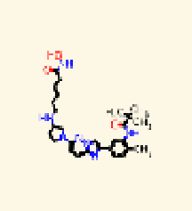 Cc1ccc(-c2cn3nc(N4CCC(NCCCCCC(=O)NO)C4)ccc3n2)cc1NC(=O)C(C)(C)C